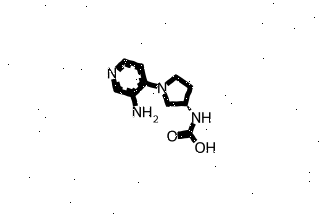 Nc1cnccc1N1CC[C@H](NC(=O)O)C1